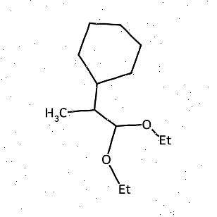 CCOC(OCC)C(C)C1CCCCC1